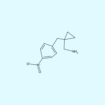 NCC1(Cc2ccc([N+](=O)[O-])cc2)CC1